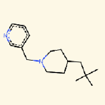 CC(C)(C)CC1CCN(Cc2cccnc2)CC1